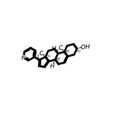 C[C@]12CCC3[C@@H](CC=C4C[C@@H](O)CC[C@@]43C)C1=CC=C2c1cccnc1